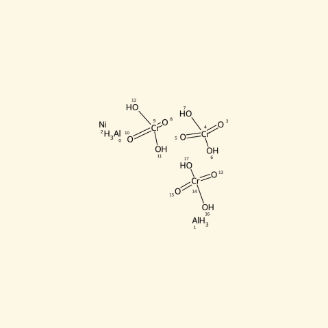 [AlH3].[AlH3].[Ni].[O]=[Cr](=[O])([OH])[OH].[O]=[Cr](=[O])([OH])[OH].[O]=[Cr](=[O])([OH])[OH]